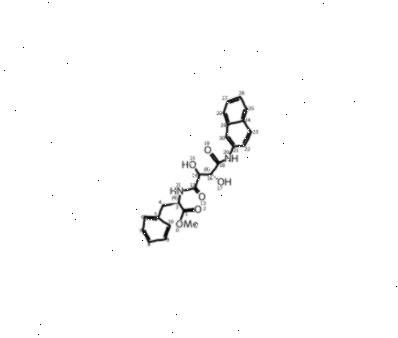 COC(=O)[C@@H](Cc1ccccc1)NC(=O)C(O)[C@@H](O)C(=O)Nc1ccc2ccccc2c1